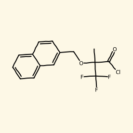 CC(OCc1ccc2ccccc2c1)(C(=O)Cl)C(F)(F)F